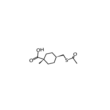 CC(=O)SC[C@H]1CC[C@](C)(C(=O)O)CC1